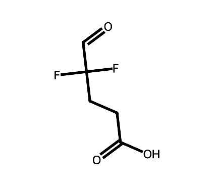 O=CC(F)(F)CCC(=O)O